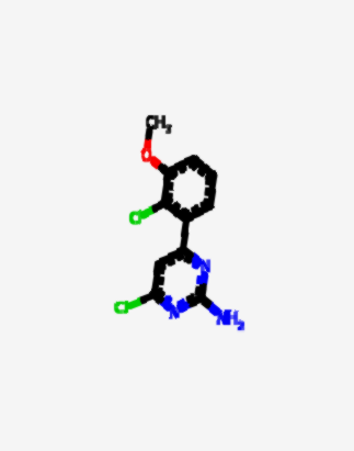 COc1cccc(-c2cc(Cl)nc(N)n2)c1Cl